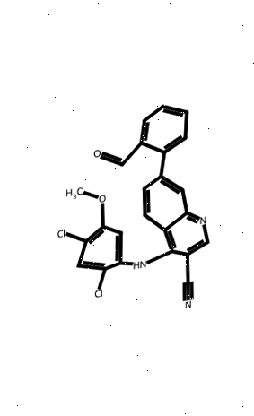 COc1cc(Nc2c(C#N)cnc3cc(-c4ccccc4C=O)ccc23)c(Cl)cc1Cl